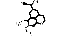 COC1C2=C3C(=CN1OC)OCCC3CC(C(C)C#N)C2